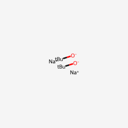 CC(C)(C)[O-].CC(C)(C)[O-].[Na+].[Na+]